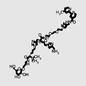 Cc1ccnc(-c2cc(C(=O)NCc3cn(CCOCCOCCNC(=O)[C@H](Cc4cn(CCCC[C@@H](C(=O)NCCCO[C@@H]5O[C@H](CO)C[C@H](O)[C@H]5O)N(C)C)nn4)NC(=O)Cn4cc(CN)nn4)nn3)ccn2)c1